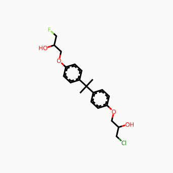 CC(C)(c1ccc(OCC(O)CF)cc1)c1ccc(OCC(O)CCl)cc1